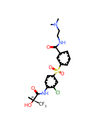 CN(C)CCNC(=O)c1cccc(S(=O)(=O)c2ccc(NC(=O)[C@@](C)(O)C(F)(F)F)c(Cl)c2)c1